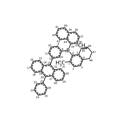 Cc1ccc2c(c1B(c1cccc(-c3c4ccccc4c(-c4ccccc4)c4ccccc34)c1)c1c(C)ccc3ccccc13)C=CCC2